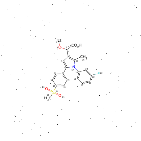 CCOC(C(=O)O)c1cc(-c2ccc(S(C)(=O)=O)cc2)n(-c2cccc(F)c2)c1C